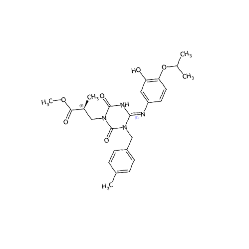 COC(=O)[C@@H](C)Cn1c(=O)[nH]/c(=N\c2ccc(OC(C)C)c(O)c2)n(Cc2ccc(C)cc2)c1=O